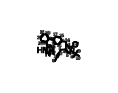 CC#CCc1cn(C(C)(C)C)c(=O)n1Cc1ccc(-c2ccccc2-c2nnn[nH]2)cc1